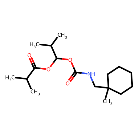 CC(C)C(=O)OC(OC(=O)NCC1(C)CCCCC1)C(C)C